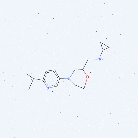 CC(C)c1ccc(N2CCOC(CNC3CC3)C2)cn1